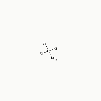 [NH2][Fe]([Cl])([Cl])[Cl]